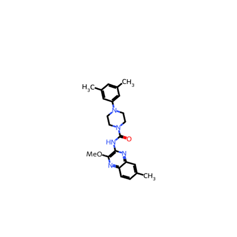 COc1nc2ccc(C)cc2nc1NC(=O)N1CCN(c2cc(C)cc(C)c2)CC1